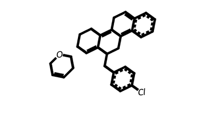 C1=CCOCC1.Clc1ccc(CC2CC3=c4ccccc4=CCC3=C3CCCC=C32)cc1